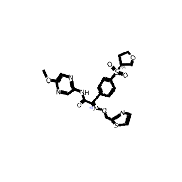 COc1cnc(NC(=O)/C(=N/OCc2nccs2)c2ccc(S(=O)(=O)[C@H]3CCOC3)cc2)cn1